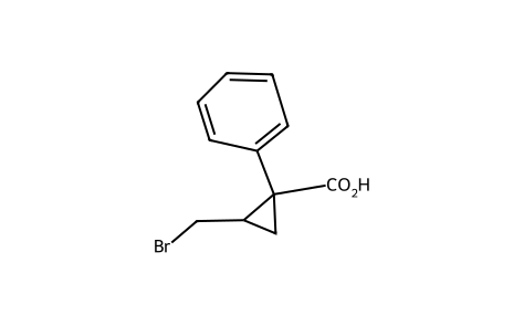 O=C(O)C1(c2ccccc2)CC1CBr